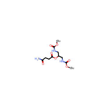 CC(C)(C)OC(=O)NCC(CNC(=O)OC(C)(C)C)OC(=O)CCC(N)=O